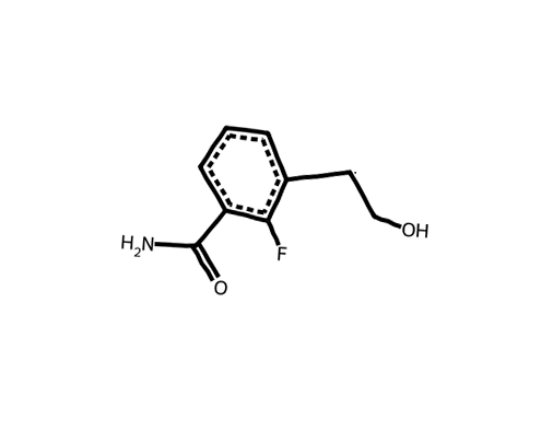 NC(=O)c1cccc([CH]CO)c1F